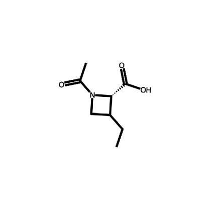 CCC1CN(C(C)=O)[C@@H]1C(=O)O